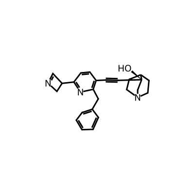 O[C@]1(C#Cc2ccc(C3C=NC3)nc2Cc2ccccc2)CN2CCC1CC2